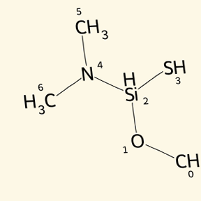 CO[SiH](S)N(C)C